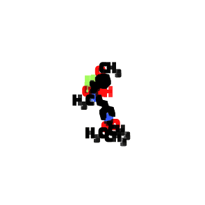 COc1cccc(C(O)(C(=O)N(C)CCCC2CCN(C(=O)OC(C)(C)C)CC2)C(F)(F)F)c1